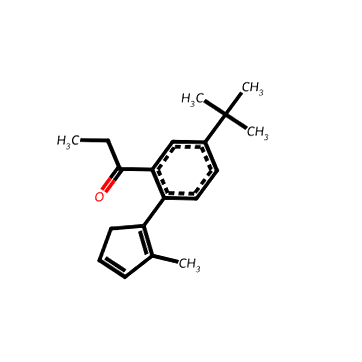 CCC(=O)c1cc(C(C)(C)C)ccc1C1=C(C)C=CC1